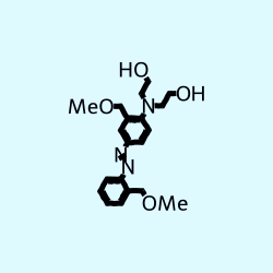 COCc1ccccc1/N=N/c1ccc(N(CCO)CCO)c(COC)c1